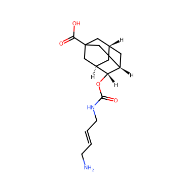 NC/C=C/CNC(=O)O[C@@H]1[C@@H]2C[C@H]3C[C@H]1CC(C(=O)O)(C3)C2